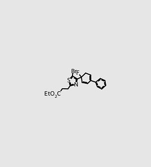 CCOC(=O)CCc1nc(C2(F)C=CC(c3ccccc3)=CC2)c(Br)s1